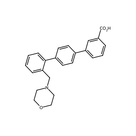 O=C(O)c1cccc(-c2ccc(-c3ccccc3CN3CCOCC3)cc2)c1